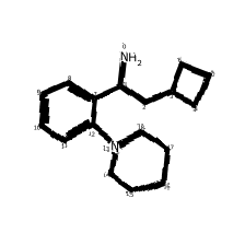 NC(CC1CCC1)c1ccccc1N1CCCCC1